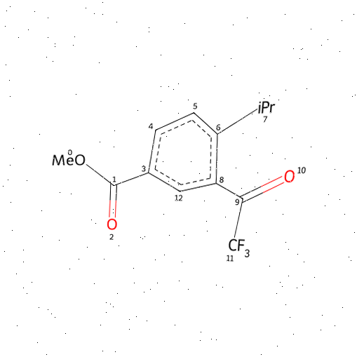 COC(=O)c1ccc(C(C)C)c(C(=O)C(F)(F)F)c1